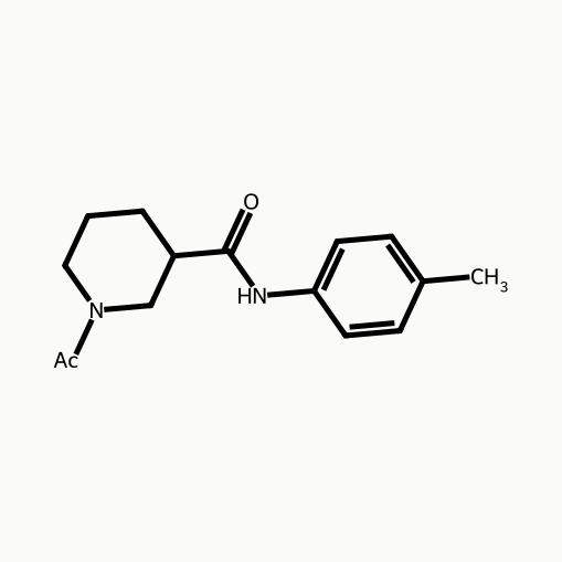 CC(=O)N1CCCC(C(=O)Nc2ccc(C)cc2)C1